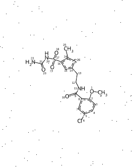 COc1ccc(Cl)cc1C(=O)NCCc1cc(S(=O)(=O)NC(N)=O)c(C)s1